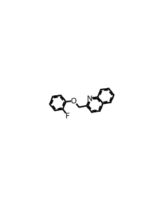 Fc1ccccc1OCc1ccc2ccccc2n1